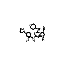 COc1cc(N2CCCS2)ccc1Nc1nc(NC2CCOCC2)c2c(C#N)c[nH]c2n1